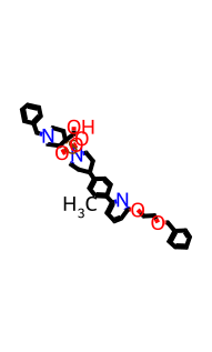 Cc1cc(C2CCN(S(=O)(=O)C3(C(=O)O)CCN(Cc4ccccc4)CC3)CC2)ccc1-c1cccc(OCCOCc2ccccc2)n1